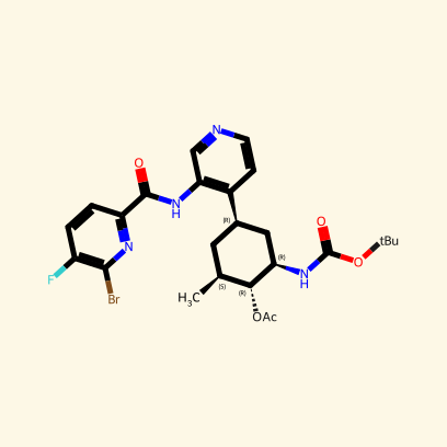 CC(=O)O[C@@H]1[C@@H](C)C[C@@H](c2ccncc2NC(=O)c2ccc(F)c(Br)n2)C[C@H]1NC(=O)OC(C)(C)C